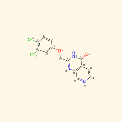 O=c1[nH]c(COc2ccc(Cl)c(Cl)c2)nc2cnccc12